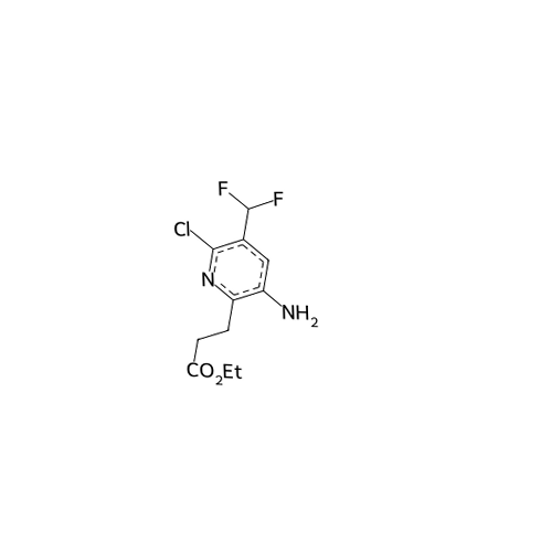 CCOC(=O)CCc1nc(Cl)c(C(F)F)cc1N